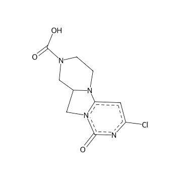 O=C(O)N1CCN2c3cc(Cl)nc(=O)n3CC2C1